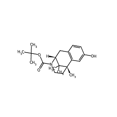 CC(C)(C)OC(=O)N1CC[C@@]2(C)c3cc(O)ccc3C[C@@H]1C2(C)C